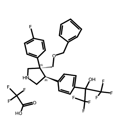 O=C(O)C(F)(F)F.OC(c1ccc([C@H]2CNC[C@@]2(COCc2ccccc2)c2ccc(F)cc2)cc1)(C(F)(F)F)C(F)(F)F